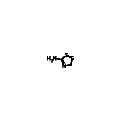 NC1=NCSS1